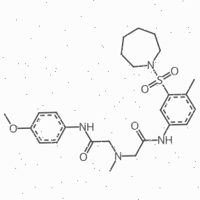 COc1ccc(NC(=O)CN(C)CC(=O)Nc2ccc(C)c(S(=O)(=O)N3CCCCCC3)c2)cc1